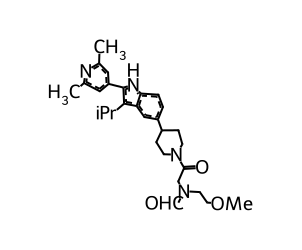 COCCN(C=O)CC(=O)N1CCC(c2ccc3[nH]c(-c4cc(C)nc(C)c4)c(C(C)C)c3c2)CC1